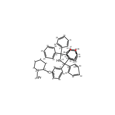 CCCN1CCCCC1C.c1ccc(C(NC(c2ccccc2)(c2ccccc2)c2ccccc2)(c2ccccc2)c2ccccc2)cc1